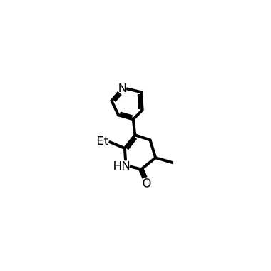 CCC1=C(c2ccncc2)CC(C)C(=O)N1